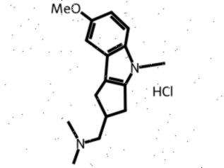 COc1ccc2c(c1)c1c(n2C)CC(CN(C)C)C1.Cl